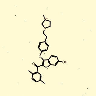 Cc1ccc(C)c(C(=O)c2sc3cc(O)ccc3c2Oc2ccc(CCN3CC[C@H](C)C3)cc2)c1